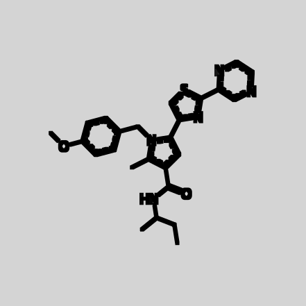 CCC(C)NC(=O)c1cc(-c2csc(-c3cnccn3)n2)n(Cc2ccc(OC)cc2)c1C